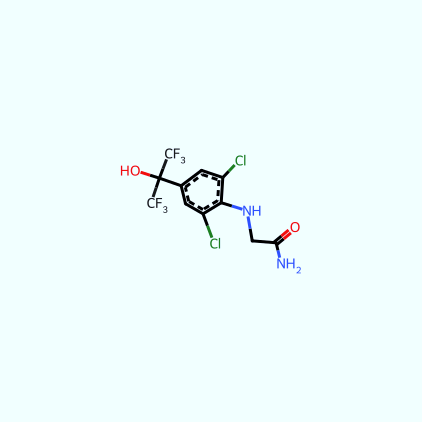 NC(=O)CNc1c(Cl)cc(C(O)(C(F)(F)F)C(F)(F)F)cc1Cl